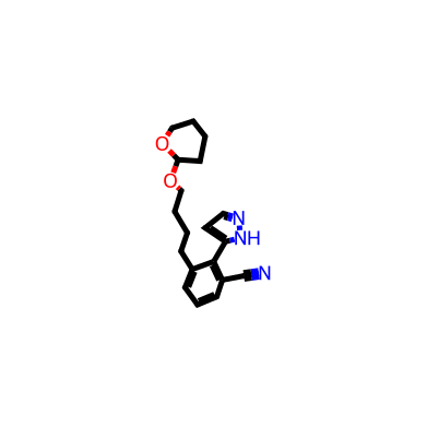 N#Cc1cccc(CCCCOC2CCCCO2)c1-c1ccn[nH]1